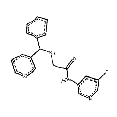 O=C(CNC(c1ccccc1)c1cccnc1)Nc1cncc(F)c1